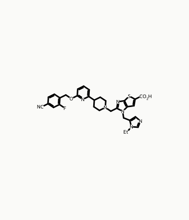 CCn1cncc1Cn1c(CN2CCC(c3cccc(OCc4ccc(C#N)cc4F)n3)CC2)nc2sc(C(=O)O)cc21